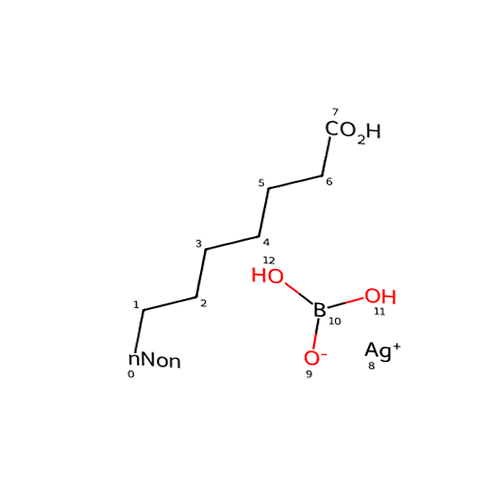 CCCCCCCCCCCCCCCC(=O)O.[Ag+].[O-]B(O)O